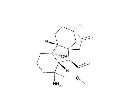 C=C1C[C@]23C[C@H]1CC[C@H]2[C@]1(O)CCCC(C)(N)[C@H]1[C@@H]3C(=O)OC